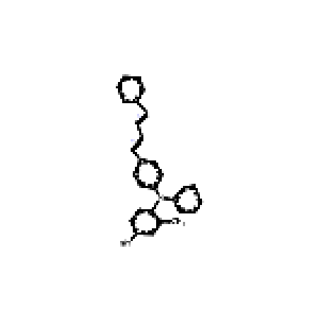 CCCc1ccc(N(c2ccccc2)c2ccc(/C=C/C=C/c3ccccc3)cc2)c(C)c1